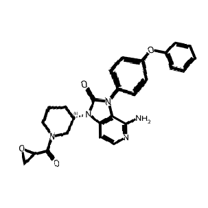 Nc1nccc2c1n(-c1ccc(Oc3ccccc3)cc1)c(=O)n2[C@H]1CCCN(C(=O)C2CO2)C1